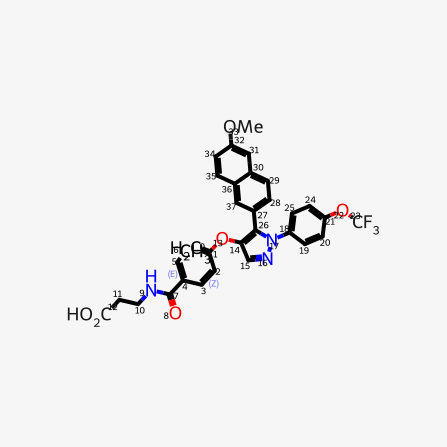 C=C(/C=C\C(=C/C)C(=O)NCCC(=O)O)Oc1cnn(-c2ccc(OC(F)(F)F)cc2)c1-c1ccc2cc(OC)ccc2c1